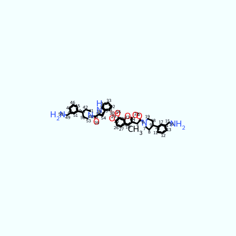 Cc1c(CC(=O)N2CCC(c3cccc(CN)c3)CC2)c(=O)oc2c3c(ccc12)OB(c1cccc2[nH]c(C(=O)N4CCC(c5cccc(CN)c5)CC4)cc12)O3